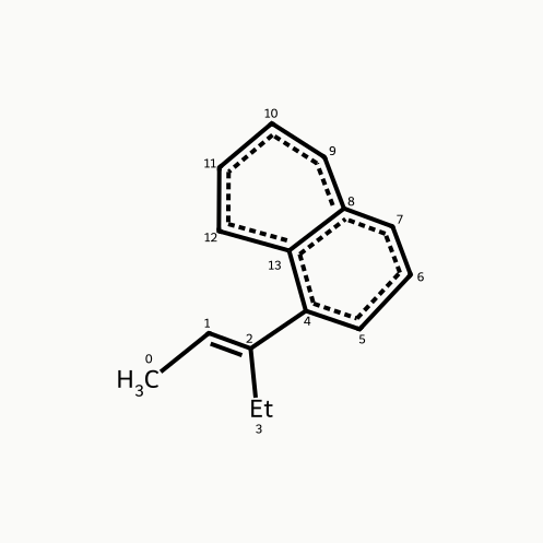 CC=C(CC)c1cccc2ccccc12